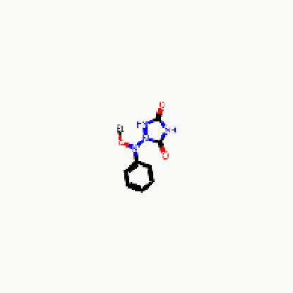 CCON(c1ccccc1)n1[nH]c(=O)[nH]c1=O